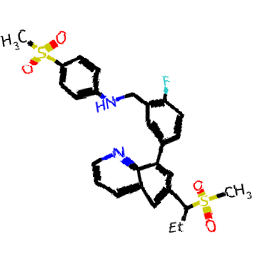 CCC(c1cc(-c2ccc(F)c(CNc3ccc(S(C)(=O)=O)cc3)c2)c2ncccc2c1)S(C)(=O)=O